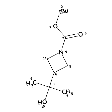 CC(C)(C)OC(=O)N1CC(C(C)(C)O)C1